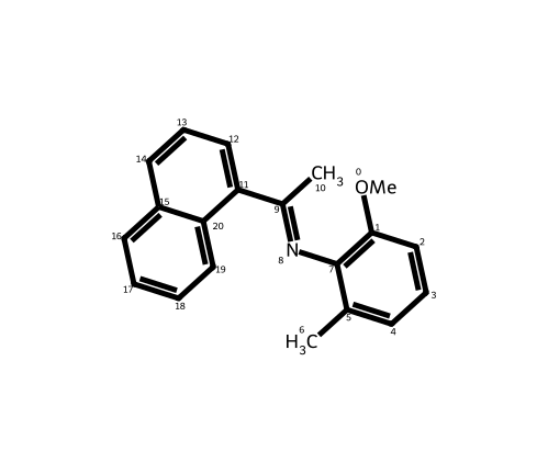 COc1cccc(C)c1N=C(C)c1cccc2ccccc12